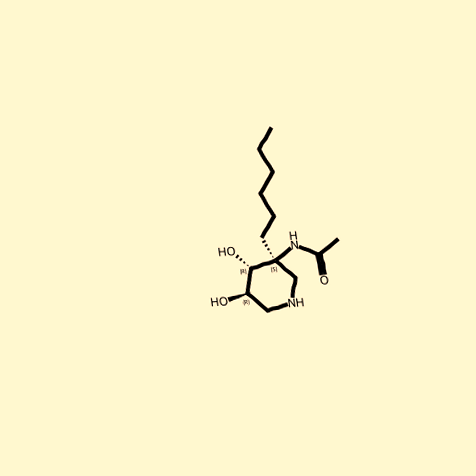 CCCCCC[C@]1(NC(C)=O)CNC[C@@H](O)[C@@H]1O